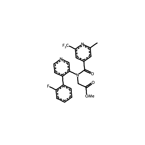 COC(=O)CN(C(=O)c1cc(C)nc(C(F)(F)F)c1)c1cnccc1-c1ccccc1F